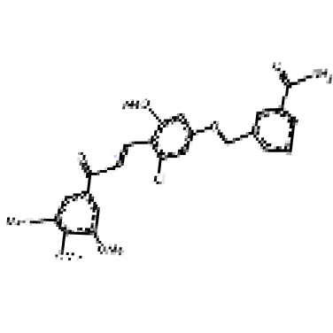 COc1cc(OCc2cccc(C(N)=O)c2)cc(Cl)c1/C=C/C(=O)c1cc(OC)c(OC)c(OC)c1